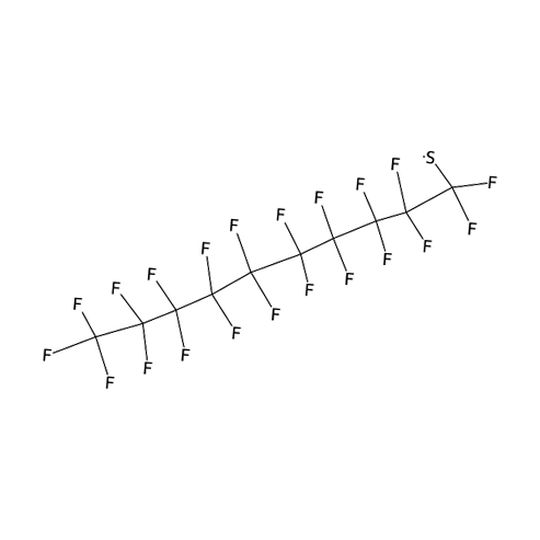 FC(F)(F)C(F)(F)C(F)(F)C(F)(F)C(F)(F)C(F)(F)C(F)(F)C(F)(F)C(F)(F)C(F)(F)[S]